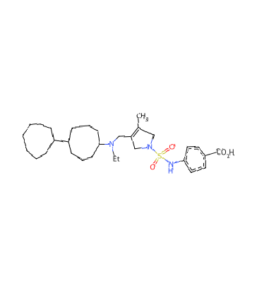 CCN(CC1=C(C)CN(S(=O)(=O)Nc2ccc(C(=O)O)cc2)C1)C1CCCC(C2CCCCCCC2)CCC1